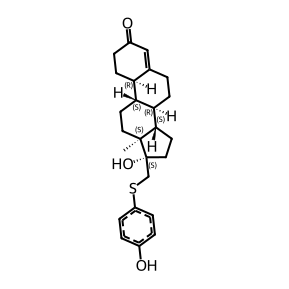 C[C@]12CC[C@H]3[C@@H](CCC4=CC(=O)CC[C@@H]43)[C@@H]1CC[C@@]2(O)CSc1ccc(O)cc1